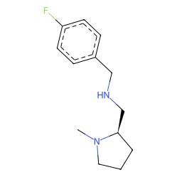 CN1CCC[C@@H]1CNCc1ccc(F)cc1